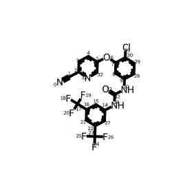 N#Cc1ccc(Oc2cc(NC(=O)Nc3cc(C(F)(F)F)cc(C(F)(F)F)c3)ccc2Cl)cn1